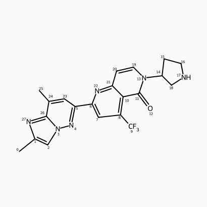 Cc1cn2nc(-c3cc(C(F)(F)F)c4c(=O)n(C5CCNC5)ccc4n3)cc(C)c2n1